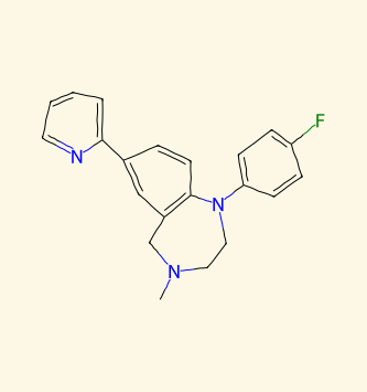 CN1CCN(c2ccc(F)cc2)c2ccc(-c3ccccn3)cc2C1